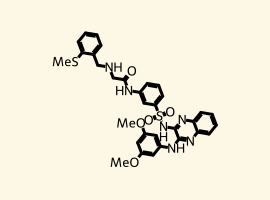 COc1cc(Nc2nc3ccccc3nc2NS(=O)(=O)c2cccc(NC(=O)CNCc3ccccc3SC)c2)cc(OC)c1